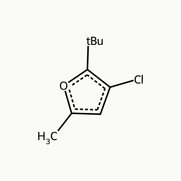 Cc1cc(Cl)c(C(C)(C)C)o1